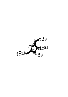 CC(C)(C)CC1OC(CC(C)(C)C)C(C(C)(C)C)C1C(C)(C)C